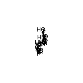 Cc1cc(Nc2ncnc3ccc(NC(=O)C#CCCO)cc23)ccc1Oc1ccn(C(F)F)c(=O)c1